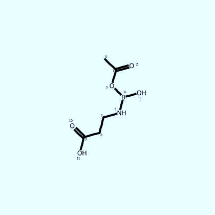 CC(=O)OB(O)NCCC(=O)O